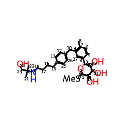 CS[C@H]1OC(c2ccc(C)c(Cc3ccc(CCCCNC(C)(C)CO)cc3)c2)[C@H](O)[C@@H](O)[C@@H]1O